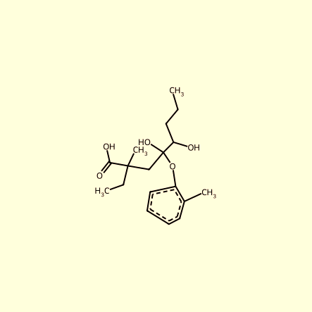 CCCC(O)C(O)(CC(C)(CC)C(=O)O)Oc1ccccc1C